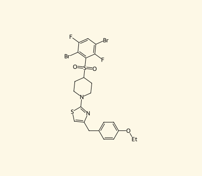 CCOc1ccc(Cc2csc(N3CCC(S(=O)(=O)c4c(F)c(Br)cc(F)c4Br)CC3)n2)cc1